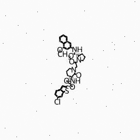 COc1cc(NC(=O)[C@@H]2CCCN2C(=O)CN2CCC[C@H](NS(=O)(=O)c3cc4ccc(Cl)cc4s3)C2=O)cc2ccccc12